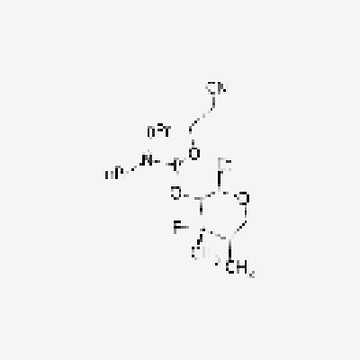 CCCN(CCC)P(OCCC#N)OC1[C@@H](CC)OC[C@@H](C)[C@]1(C)F